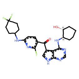 O=C(c1ccc(NC2CCC(F)(F)CC2)nc1F)c1c[nH]c2ncnc(N[C@@H]3CCCC[C@H]3O)c12